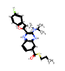 CCCSC(=O)c1ccc2nc(-c3cc4cc(F)ccc4o3)c(N(C)C(C)C)nc2c1